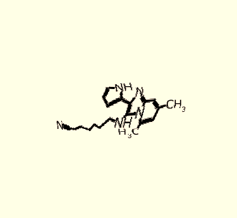 Cc1cc(C)n2c(NCCCCCCC#N)c(-c3ccc[nH]3)nc2c1